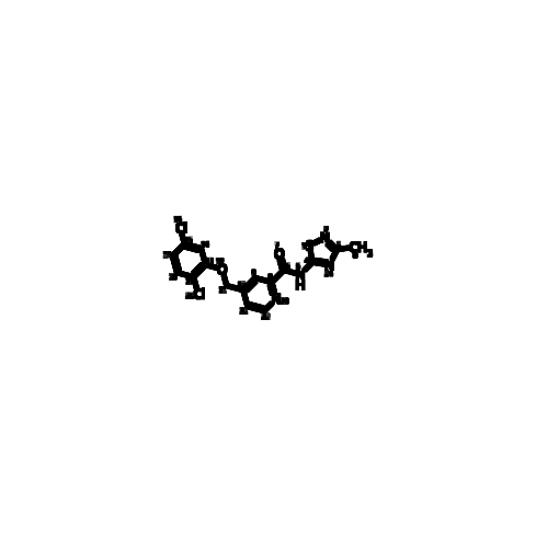 Cc1nsc(NC(=O)c2cc(COc3cc(Cl)ccc3Cl)ccn2)n1